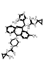 Cc1ccc2c(c1)C([C@@H](NC(=O)OC1(C)CC1)c1cncn1C)=Cc1cccnc1[C@H]2N1CCN(C(=O)OC2(C)CC2)CC1